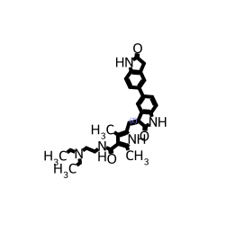 CCN(CC)CCNC(=O)c1c(C)[nH]c(/C=C2\C(=O)Nc3ccc(-c4ccc5c(c4)CC(=O)N5)cc32)c1C